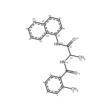 Cc1ccccc1C(=O)NC(C)C(=O)Nc1cccc2ncccc12